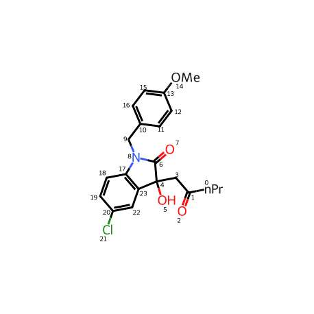 CCCC(=O)CC1(O)C(=O)N(Cc2ccc(OC)cc2)c2ccc(Cl)cc21